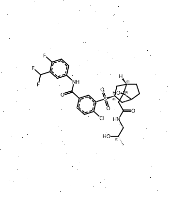 C[C@H](O)CNC(=O)C[C@@]1(O)C2CC[C@H]1C[C@H](S(=O)(=O)c1cc(C(=O)Nc3ccc(F)c(C(F)F)c3)ccc1Cl)C2